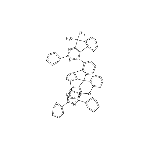 CC1(C)c2ccccc2-c2c(-c3cccc4c3-c3cccc(-c5nc(-c6ccccc6)nc(-c6ccccc6)n5)c3C43c4ccccc4Oc4ccccc43)nc(-c3ccccc3)nc21